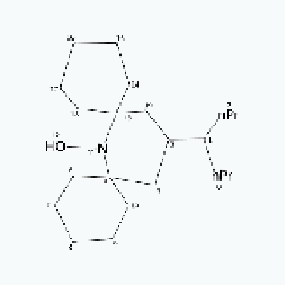 CCCC(CCC)C1CC2(CCCCC2)N(O)C2(CCCCC2)C1